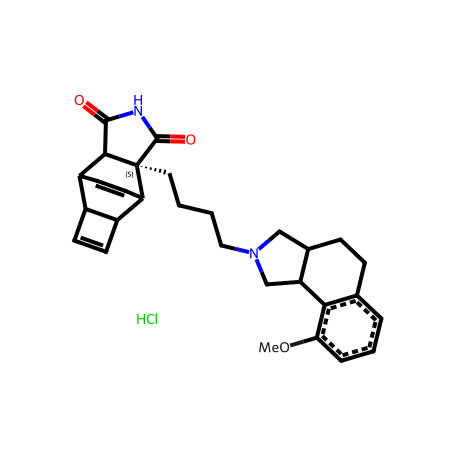 COc1cccc2c1C1CN(CCCC[C@@]34C(=O)NC(=O)C3C3C=CC4C4C=CC43)CC1CC2.Cl